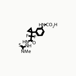 CNC(=S)NNC(=O)C(F)(F)C1(c2cccc(NC(=O)O)c2)CC1